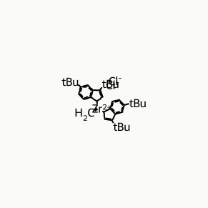 [CH2]=[Zr+2]([CH]1C=C(C(C)(C)C)c2cc(C(C)(C)C)ccc21)[CH]1C=C(C(C)(C)C)c2cc(C(C)(C)C)ccc21.[Cl-].[Cl-]